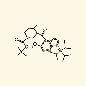 COc1cnc2c(ccn2[Si](C(C)C)(C(C)C)C(C)C)c1C(=O)C1CN(C(=O)OC(C)(C)C)CCC1C